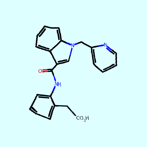 O=C(O)Cc1ccccc1NC(=O)c1cn(Cc2ccccn2)c2ccccc12